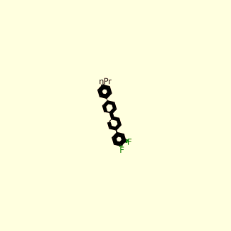 CCCc1ccc([C@H]2CC[C@H]([C@H]3CC[C@H](c4ccc(F)c(F)c4)CC3)CC2)cc1